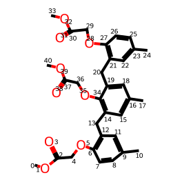 COC(=O)COc1ccc(C)cc1Cc1cc(C)cc(Cc2cc(C)ccc2OCC(=O)OC)c1OCC(=O)OC